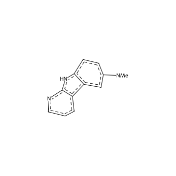 CNc1ccc2[nH]c3ncccc3c2c1